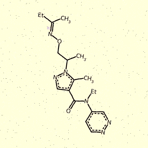 CC/C(C)=N/OCC(C)n1ncc(C(=O)N(CC)c2ccnnc2)c1C